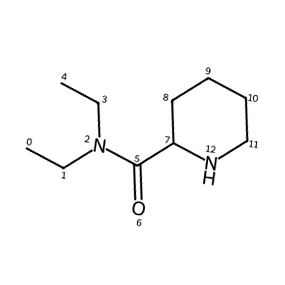 CCN(CC)C(=O)C1CCCCN1